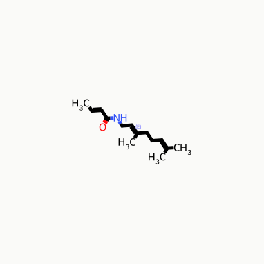 CC=CC(=O)NC/C=C(\C)CCC=C(C)C